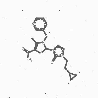 CC1=C(C(N)=O)SC(n2cnn(CCC3CC3)c2=O)N1Cc1cccnc1